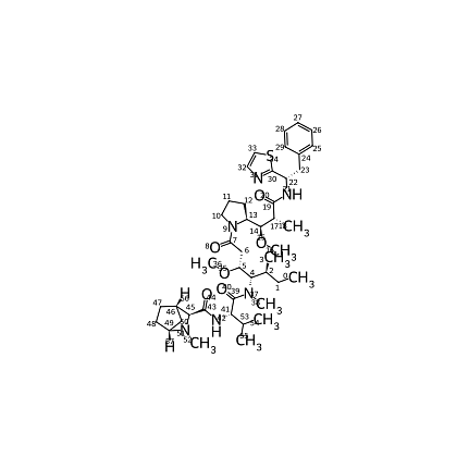 CC[C@H](C)[C@@H]([C@@H](CC(=O)N1CCC[C@H]1[C@H](OC)[C@@H](C)C(=O)N[C@@H](Cc1ccccc1)c1nccs1)OC)N(C)C(=O)[C@@H](NC(=O)[C@@H]1[C@H]2CC[C@H](C2)N1C)C(C)C